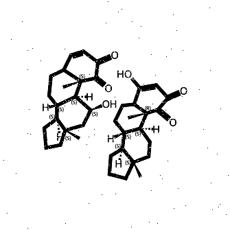 C[C@@]12CCC[C@H]1[C@@H]1CCC3C(O)=CC(=O)C(=O)[C@]3(C)[C@H]1CC2.C[C@@]12CCC[C@H]1[C@@H]1CCC3C=CC(=O)C(=O)[C@]3(C)[C@H]1[C@@H](O)C2